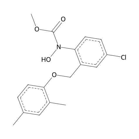 COC(=O)N(O)c1ccc(Cl)cc1COc1ccc(C)cc1C